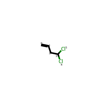 C=C[CH]C(Cl)Cl